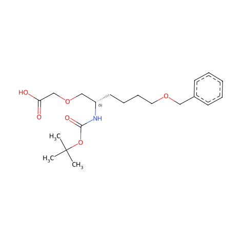 CC(C)(C)OC(=O)N[C@@H](CCCCOCc1ccccc1)COCC(=O)O